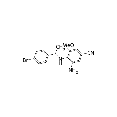 COc1cc(C#N)cc(N)c1NC(C)c1ccc(Br)cc1